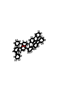 c1ccc(-c2ccc(N(c3ccc4c(c3)C3(c5ccccc5-c5ccccc53)c3ccccc3-4)c3ccccc3-c3ccc4c5cccc6c7ccccc7n(c4c3)c65)cc2)cc1